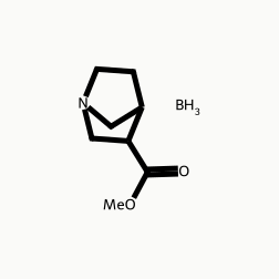 B.COC(=O)C1CN2CCC1C2